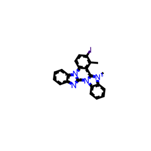 Cc1c(I)ccc2c1c1n(c3ccccc3[n+]1C)c1nc3ccccc3n21